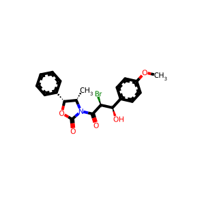 COc1ccc([C@@H](O)[C@H](Br)C(=O)N2C(=O)O[C@H](c3ccccc3)[C@@H]2C)cc1